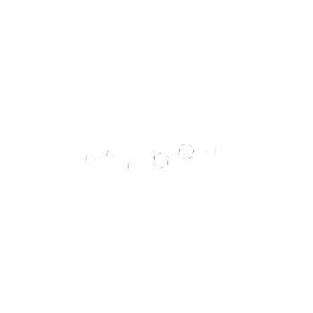 CCc1ccc2c(c1)OCc1cc(COC(=O)CCC(=O)O)ccc1-2